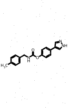 Cc1ccc(CNC(=O)Oc2ccc(-c3cn[nH]c3)cc2)cc1